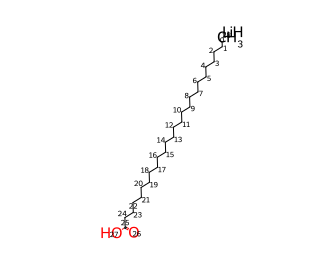 CCCCCCCCCCCCCCCCCCCCCCCCCC(=O)O.[LiH]